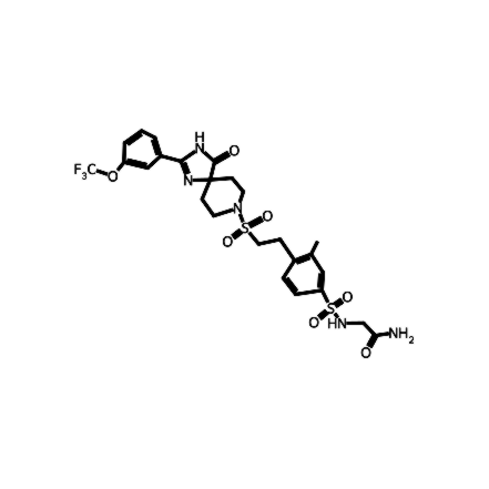 Cc1cc(S(=O)(=O)NCC(N)=O)ccc1CCS(=O)(=O)N1CCC2(CC1)N=C(c1cccc(OC(F)(F)F)c1)NC2=O